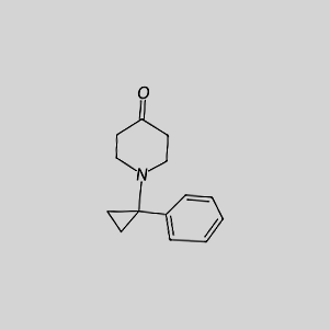 O=C1CCN(C2(c3ccccc3)CC2)CC1